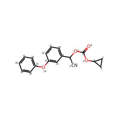 N#CC(OC(=O)OC1CC1)c1cccc(Oc2ccccc2)c1